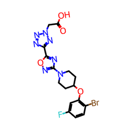 O=C(O)Cn1nnc(-c2nc(N3CCC(Oc4cc(F)ccc4Br)CC3)no2)n1